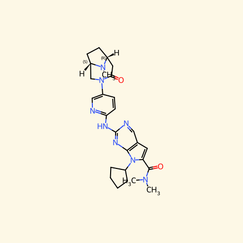 CN(C)C(=O)c1cc2cnc(Nc3ccc(N4C[C@@H]5CC[C@H](CC4=O)N5C)cn3)nc2n1C1CCCC1